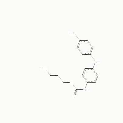 O=[N+]([O-])c1ccc(Nc2ccc(NC(=S)SCCCO)cc2)cc1